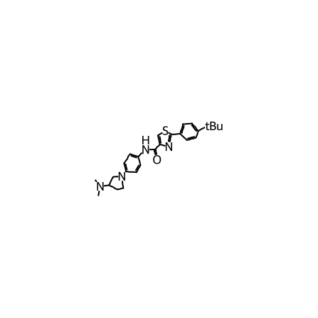 CN(C)C1CCN(c2ccc(NC(=O)c3csc(-c4ccc(C(C)(C)C)cc4)n3)cc2)C1